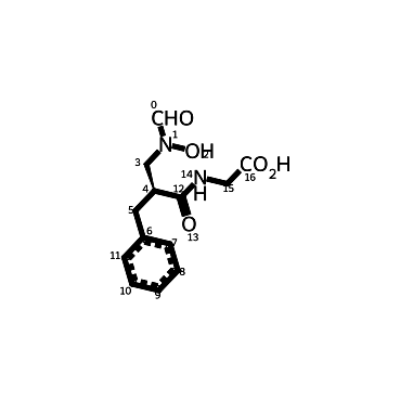 O=CN(O)C[C@H](Cc1ccccc1)C(=O)NCC(=O)O